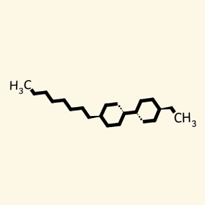 CCCCCCCC[C@H]1CC[C@H]([C@H]2CC[C@H](CC)CC2)CC1